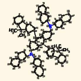 CC1(C)c2ccccc2-c2ccc(-c3c4ccc(N(c5ccc6ccccc6c5)c5ccc6ccccc6c5)cc4c(-c4ccc5c(c4)C(C)(C)c4ccccc4-5)c4ccc(N(c5ccc6ccccc6c5)c5ccc6ccccc6c5)cc34)cc21